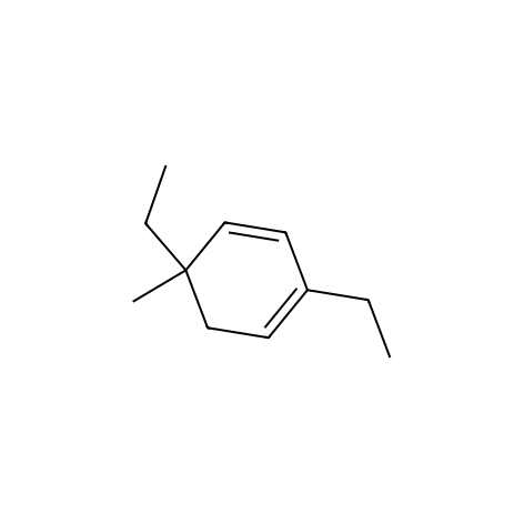 CCC1=CCC(C)(CC)C=C1